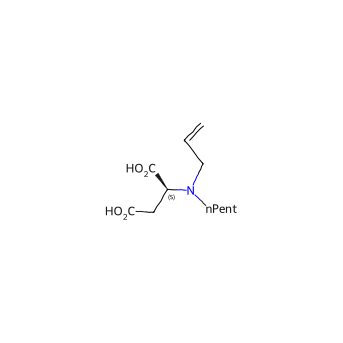 C=CCN(CCCCC)[C@@H](CC(=O)O)C(=O)O